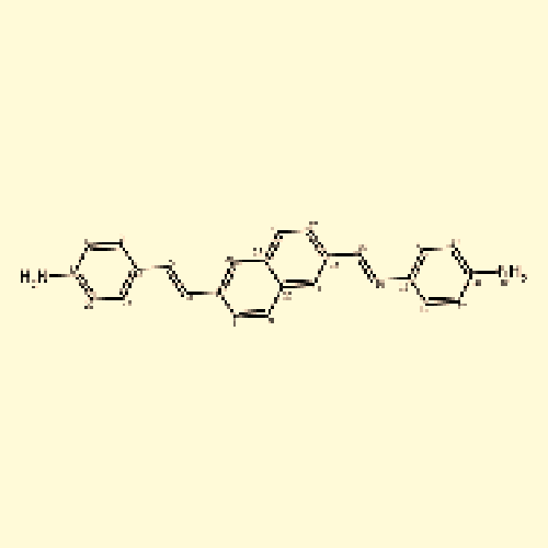 Nc1ccc(C=Cc2ccc3cc(C=Cc4ccc(N)cc4)ccc3c2)cc1